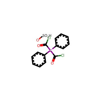 O=C(Cl)[I+](C(=O)Cl)(c1ccccc1)c1ccccc1.O=S(=O)([O-])O